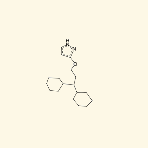 c1cc(OCCC(C2CCCCC2)C2CCCCC2)n[nH]1